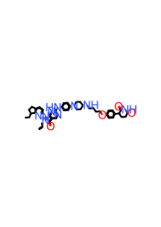 C=CCn1c(=O)c2cnc(Nc3ccc(N4CCC(NCCCCOc5ccc(C6CCC(=O)NC6=O)cc5)CC4)cc3)nc2n1-c1ccc2c(n1)C(CC)CC2